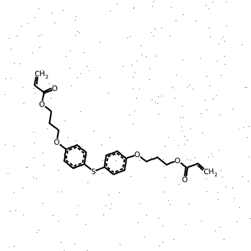 C=CC(=O)OCCCOc1ccc(Sc2ccc(OCCCOC(=O)C=C)cc2)cc1